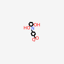 COC(=O)c1ccc(/C=N/c2c(O)cccc2O)cc1